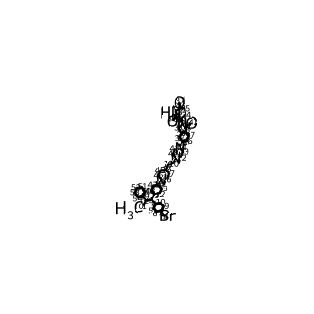 CC/C(=C(\c1ccc(Br)cc1)c1ccc(N2CCC(CCN3CCN(c4ccc5c(c4)CN(C4CCC(=O)NC4=O)C5=O)CC3)CC2)cc1)c1ccccc1